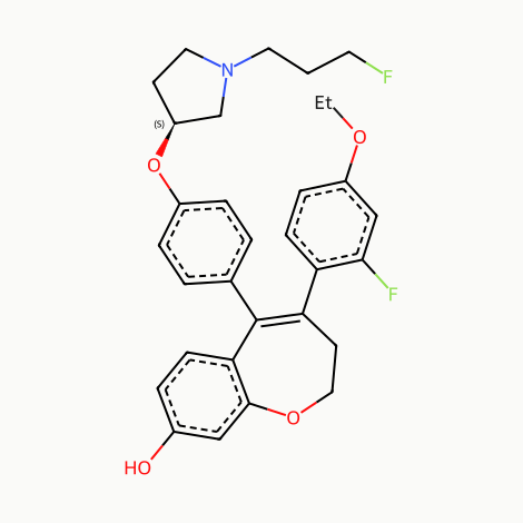 CCOc1ccc(C2=C(c3ccc(O[C@H]4CCN(CCCF)C4)cc3)c3ccc(O)cc3OCC2)c(F)c1